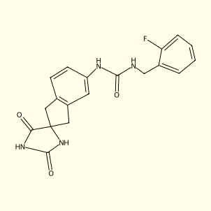 O=C(NCc1ccccc1F)Nc1ccc2c(c1)CC1(C2)NC(=O)NC1=O